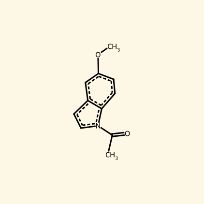 COc1ccc2c(ccn2C(C)=O)c1